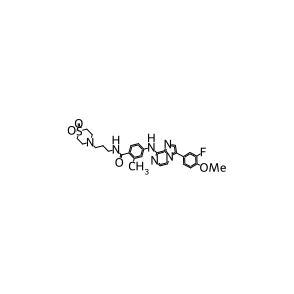 COc1ccc(-c2cnc3c(Nc4ccc(C(=O)NCCCN5CCS(=O)(=O)CC5)c(C)c4)nccn23)cc1F